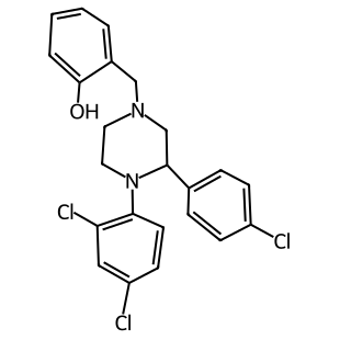 Oc1ccccc1CN1CCN(c2ccc(Cl)cc2Cl)C(c2ccc(Cl)cc2)C1